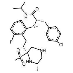 CC(C)NC(=O)[C@H](Cc1ccc(Cl)cc1)Nc1cccc(F)c1CC[C@]1(S(C)(=O)=O)CNC[C@H](C)N1